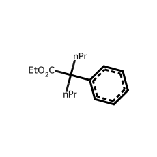 CCCC(CCC)(C(=O)OCC)c1ccccc1